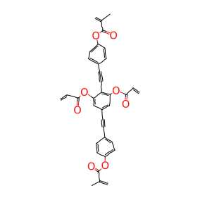 C=CC(=O)Oc1cc(C#Cc2ccc(OC(=O)C(=C)C)cc2)cc(OC(=O)C=C)c1C#Cc1ccc(OC(=O)C(=C)C)cc1